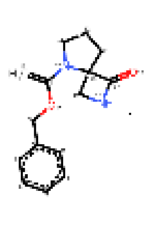 C=C(OCc1ccccc1)N1CCCC12CNC2=O